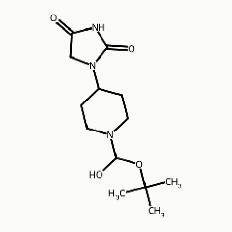 CC(C)(C)OC(O)N1CCC(N2CC(=O)NC2=O)CC1